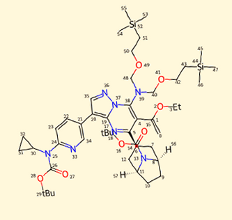 C=C(OCC)c1c([C@H]2C[C@H]3CC[C@@H](C2)N3C(=O)OC(C)(C)C)nc2c(-c3ccc(N(C(=O)OC(C)(C)C)C4CC4)nc3)cnn2c1N(COCC[Si](C)(C)C)COCC[Si](C)(C)C